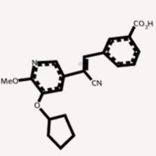 COc1ncc(/C(C#N)=C/c2cccc(C(=O)O)c2)cc1OC1CCCC1